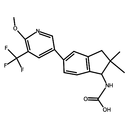 COc1ncc(-c2ccc3c(c2)CC(C)(C)C3NC(=O)O)cc1C(F)(F)F